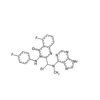 CCC(c1nc2cccc(F)c2c(=O)n1Nc1ccc(F)cc1)N(C)c1ncnc2[nH]cnc12